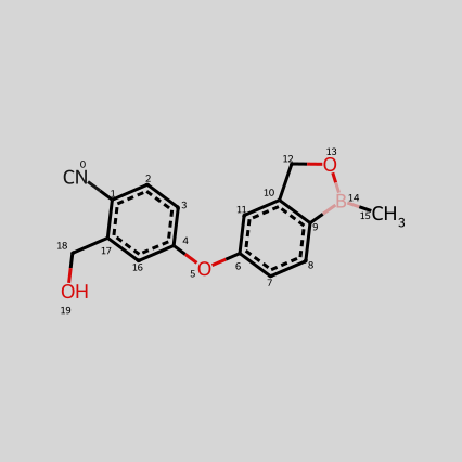 [C-]#[N+]c1ccc(Oc2ccc3c(c2)COB3C)cc1CO